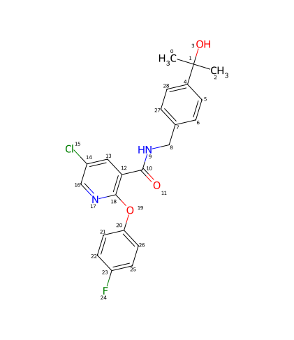 CC(C)(O)c1ccc(CNC(=O)c2cc(Cl)cnc2Oc2ccc(F)cc2)cc1